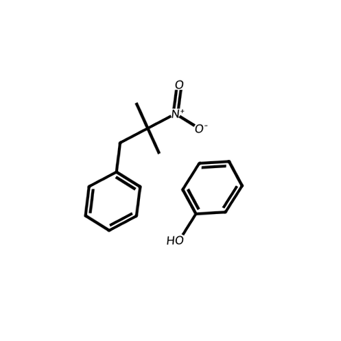 CC(C)(Cc1ccccc1)[N+](=O)[O-].Oc1ccccc1